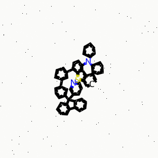 c1ccc(N(c2ccccc2)c2ccc(-c3cccc(-c4cccc(C5(c6cccnc6)c6ccccc6-c6ccccc65)c4)c3)c3sc4ccccc4c23)cc1